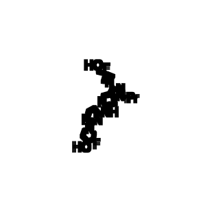 CC(C)n1nc(N2CC(F)(CO)C2)c2cnc(Nc3ccnc(N4CC[C@H](O)[C@H](F)C4)n3)cc21